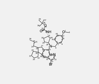 COc1ccc(CN(c2c3c(nc4c(Br)cnn24)C2(CCCC2)C(CSC)C3)[C@H]2CC[C@H](NC(=O)OC(C)(C)C)C2)cc1